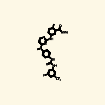 CNC(=O)c1cc(Nc2nccc(N(C)c3ccc(NC(=O)Nc4cc(F)cc(C(F)(F)F)c4)cc3)n2)ccc1C